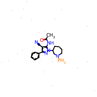 CC(=O)Nc1c(C#N)c(-c2ccccc2)nn1C1CCCCN(P)C1